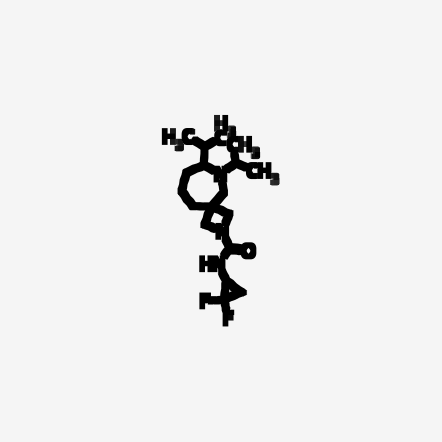 CC(C)C1CCCC2(CN(C(=O)NC3CC3(F)F)C2)CN1C(C)C